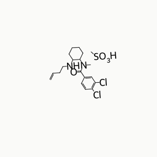 C=CCCNC1CCCCC1N(C)C(=O)c1ccc(Cl)c(Cl)c1.CS(=O)(=O)O